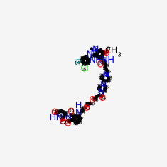 COc1cc2ncnc(Nc3ccc(F)c(Cl)c3)c2cc1NC(=O)/C=C/CN1CCC(N2CCN(C(=O)CCOCCOCCNc3cccc4c3C(=O)N(C3CCC(=O)NC3=O)C4=O)CC2)CC1